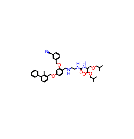 Cc1c(COc2ccc(CNCCNC(=O)N[C@@H](COCC(C)C)C(=O)OCC(C)C)c(OCc3cccc(C#N)c3)c2)cccc1-c1ccccc1